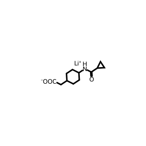 O=C([O-])CC1CCC(NC(=O)C2CC2)CC1.[Li+]